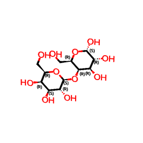 OC[C@H]1O[C@@H](O[C@@H]2[C@H](O)[C@@H](O)[C@@H](O)O[C@@H]2CO)[C@H](O)[C@@H](O)[C@H]1O